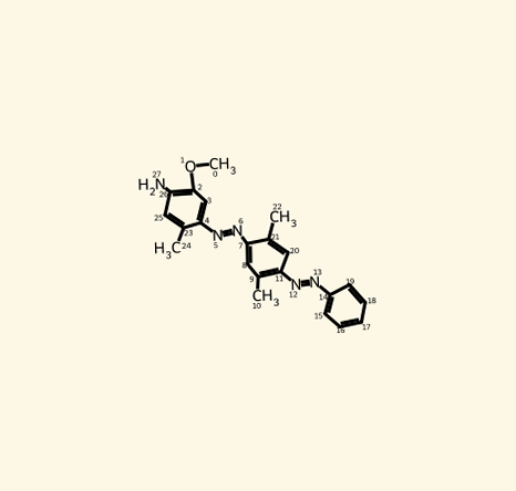 COc1cc(N=Nc2cc(C)c(N=Nc3ccccc3)cc2C)c(C)cc1N